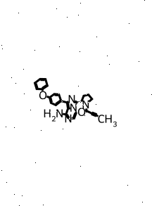 CC#CC(=O)N1CCC[C@H]1c1nc(-c2ccc(Oc3ccccc3)cc2)c2c(N)nccn12